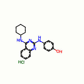 Cl.Oc1ccc(Nc2nc(NC3CCCCC3)c3ccccc3n2)cc1